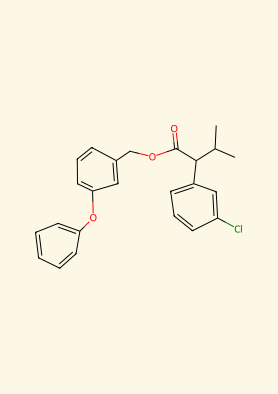 CC(C)C(C(=O)OCc1cccc(Oc2ccccc2)c1)c1cccc(Cl)c1